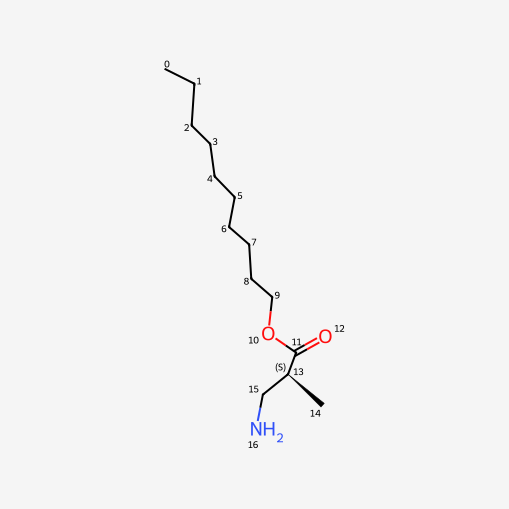 CCCCCCCCCCOC(=O)[C@@H](C)CN